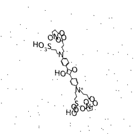 O=C(CCCN(CCCS(=O)(=O)O)c1ccc(C2=C(O)C(C3C=CC(=[N+](CCCSOOO)CCCC(=O)ON4C(=O)CCC4=O)C=C3)C2=O)cc1)ON1C(=O)CCC1=O